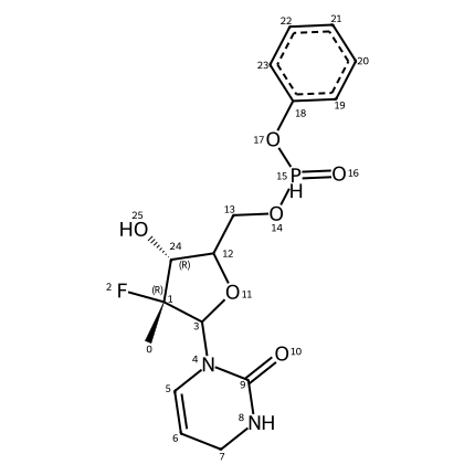 C[C@]1(F)C(N2C=CCNC2=O)OC(CO[PH](=O)Oc2ccccc2)[C@H]1O